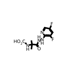 CC(C)(NC(=O)O)C(=O)NNc1ncc(F)cc1F